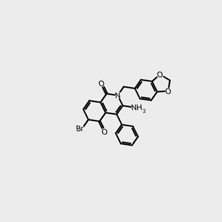 Nc1c(-c2ccccc2)c2c(c(=O)n1Cc1ccc3c(c1)OCO3)C=CC(Br)C2=O